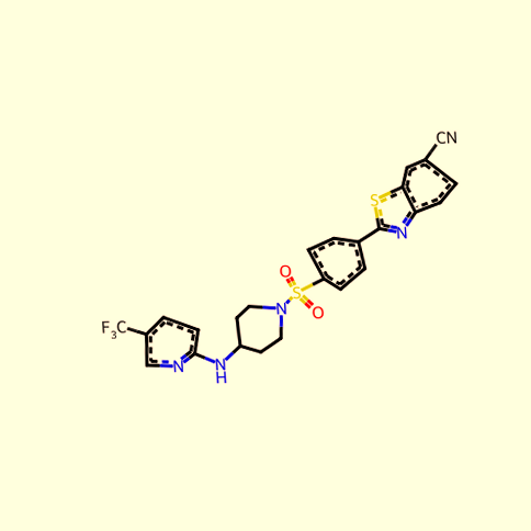 N#Cc1ccc2nc(-c3ccc(S(=O)(=O)N4CCC(Nc5ccc(C(F)(F)F)cn5)CC4)cc3)sc2c1